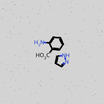 Nc1ccccc1C(=O)O.c1cn[nH]c1